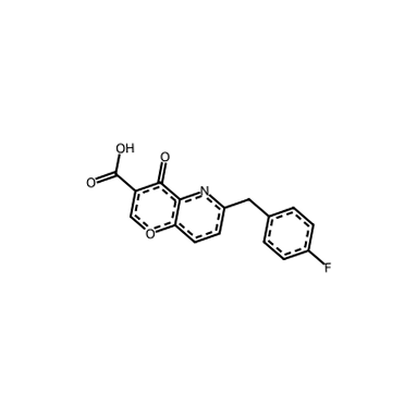 O=C(O)c1coc2ccc(Cc3ccc(F)cc3)nc2c1=O